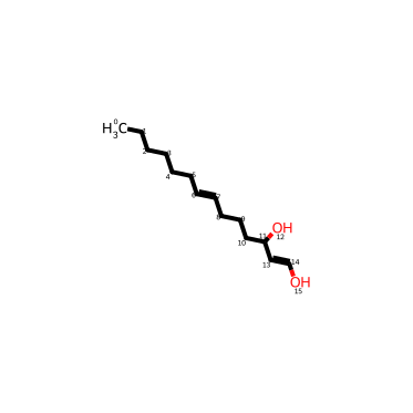 CCCCCCC=CCCCC(O)C=CO